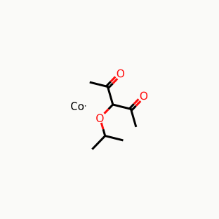 CC(=O)C(OC(C)C)C(C)=O.[Co]